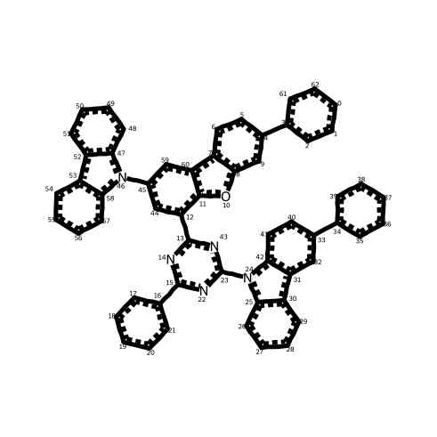 c1ccc(-c2ccc3c(c2)oc2c(-c4nc(-c5ccccc5)nc(-n5c6ccccc6c6cc(-c7ccccc7)ccc65)n4)cc(-n4c5ccccc5c5ccccc54)cc23)cc1